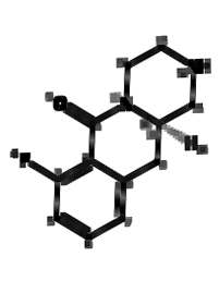 O=C1c2c(F)cccc2C[C@@H]2CNCCN12